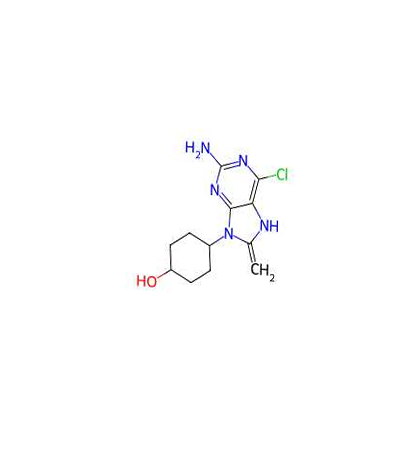 C=C1Nc2c(Cl)nc(N)nc2N1C1CCC(O)CC1